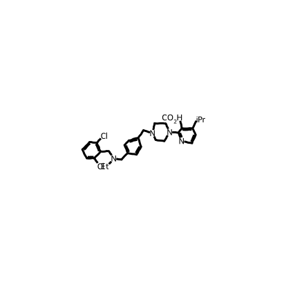 CCN(Cc1ccc(CN2CCN(c3nccc(C(C)C)c3C(=O)O)CC2)cc1)Cc1c(Cl)cccc1Cl